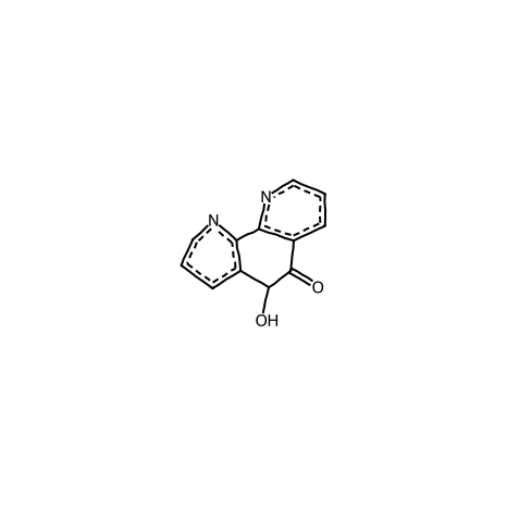 O=C1c2cccnc2-c2ncccc2C1O